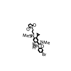 CNC(=O)/C(Nc1ccc(Br)cc1)=C1\C=C(C2CC2)C(N(CCCN2C(=O)CCC2=O)SC)=CC1=N